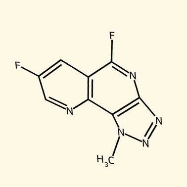 Cn1nnc2nc(F)c3cc(F)cnc3c21